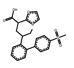 CCC(CC(C(=O)O)c1ncco1)c1ccccc1-c1ccc(S(C)(=O)=O)cc1